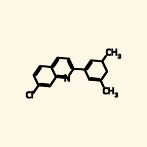 CC1=CC(c2ccc3ccc(Cl)cc3n2)=CC(C)C1